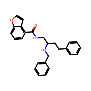 O=C(NCC(CCc1ccccc1)NCc1ccccc1)c1cccc2occc12